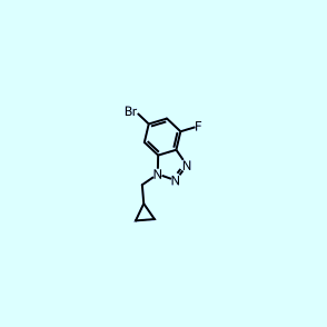 Fc1cc(Br)cc2c1nnn2CC1CC1